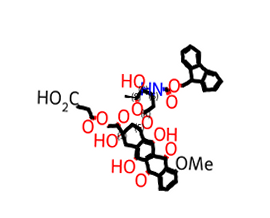 COc1cccc2c1C(=O)c1c(O)c3c(c(O)c1C2=O)C[C@@](O)(C(=O)COC(=O)CCC(=O)O)C[C@@H]3O[C@H]1C[C@H](NC(=O)OCC2c3ccccc3-c3ccccc32)[C@H](O)[C@H](C)O1